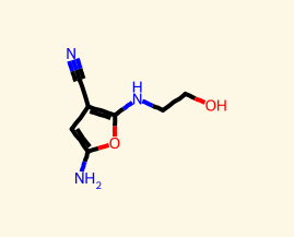 N#Cc1cc(N)oc1NCCO